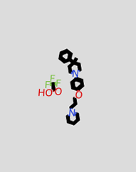 CC1(c2ccccc2)CCN(c2ccc(OCCCN3CCCCC3)cc2)CC1.O=C(O)C(F)(F)F